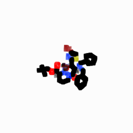 CO[C@H](c1nc(Br)cs1)[C@@H](C(=O)N1CCC[C@@H](C(=O)OCC(C)(C)C)N1)N(Cc1ccccc1)Cc1ccccc1